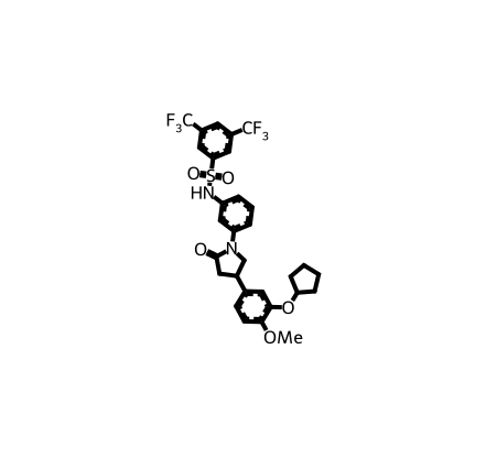 COc1ccc(C2CC(=O)N(c3cccc(NS(=O)(=O)c4cc(C(F)(F)F)cc(C(F)(F)F)c4)c3)C2)cc1OC1CCCC1